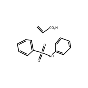 C=CC(=O)O.O=S(=O)(Nc1ccccc1)c1ccccc1